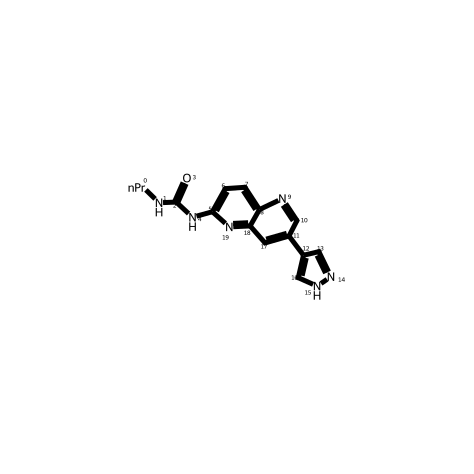 CCCNC(=O)Nc1ccc2ncc(-c3cn[nH]c3)cc2n1